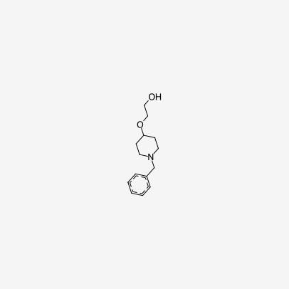 OCCOC1CCN(Cc2ccccc2)CC1